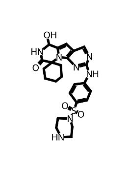 O=C1NC(O)c2cc3cnc(Nc4ccc(S(=O)(=O)N5CCNCC5)cc4)nc3n2C12CCCCC2